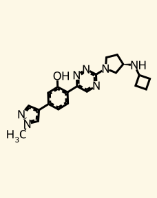 Cn1cc(-c2ccc(-c3cnc(N4CC[C@@H](NC5CCC5)C4)nn3)c(O)c2)cn1